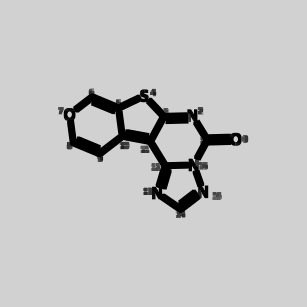 O=c1nc2sc3coccc3c2c2ncnn12